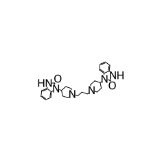 O=c1[nH]c2ccccc2n1C1CCN(CCCN2CCC(n3c(=O)[nH]c4ccccc43)CC2)CC1